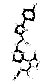 C[C@H](Nc1nccc(N2C(=O)OC[C@@H]2[C@@H](C)N=[N+]=[N-])n1)c1cnc(-c2ccc(Cl)cc2)s1